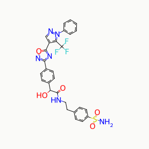 NS(=O)(=O)c1ccc(CCNC(=O)C(O)c2ccc(-c3noc(-c4cnn(-c5ccccc5)c4C(F)(F)F)n3)cc2)cc1